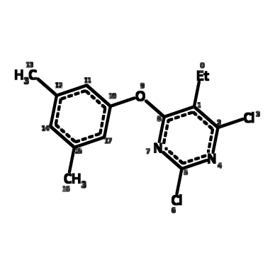 CCc1c(Cl)nc(Cl)nc1Oc1cc(C)cc(C)c1